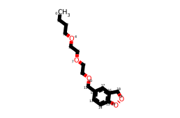 CCCCOCCOCCOCc1ccc2c(c1)COO2